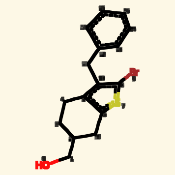 OCC1CCc2c(sc(Br)c2Cc2ccccc2)C1